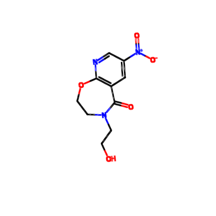 O=C1c2cc([N+](=O)[O-])cnc2OCCN1CCO